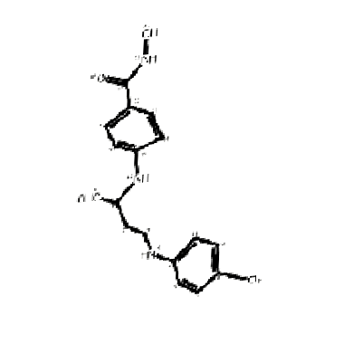 O=CC(CCNc1ccc(Cl)cc1)Nc1ccc(C(=O)NO)cc1